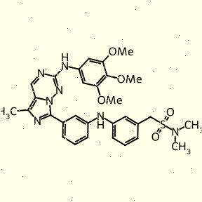 COc1cc(Nc2ncc3c(C)nc(-c4cccc(Nc5cccc(CS(=O)(=O)N(C)C)c5)c4)n3n2)cc(OC)c1OC